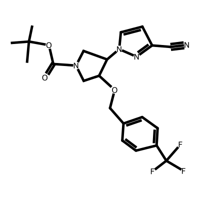 CC(C)(C)OC(=O)N1CC(OCc2ccc(C(F)(F)F)cc2)C(n2ccc(C#N)n2)C1